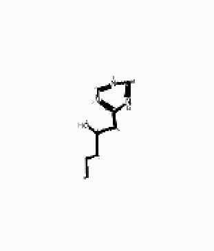 CCCC(O)Cc1ncncn1